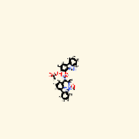 CC(=O)O.CON=C(C)C(=NOc1cccc2c1[nH]c1ccccc12)c1cccc2c1[nH]c1ccccc12